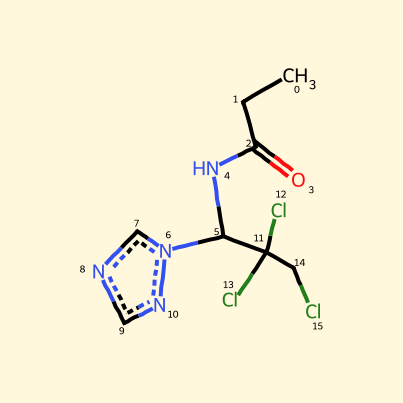 CCC(=O)NC(n1cncn1)C(Cl)(Cl)CCl